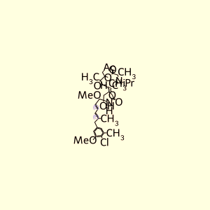 COc1cc(C/C(C)=C/C=C/C(OC)C2(O)CC(C(C)C3OC3(C)C(CC(C)=O)OC(=O)C(C)N(C)C(C)C)OC(=O)N2)cc(C)c1Cl